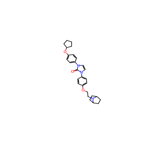 O=c1n(-c2ccc(OCCN3C4CCC3CC4)cc2)ccn1-c1ccc(OC2CCCC2)cc1